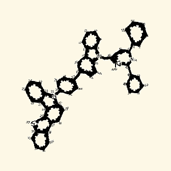 c1ccc(-c2cc(-n3c4ccccc4c4cc(-c5ccc(-n6c7ccccc7c7c8sc9ccccc9c8ccc76)cc5)ccc43)nc(-c3ccccc3)n2)cc1